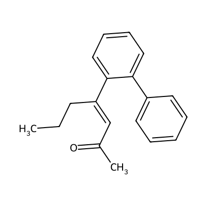 CCCC(=CC(C)=O)c1ccccc1-c1ccccc1